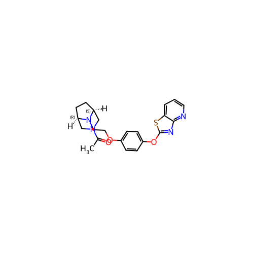 CC(=O)N1C[C@H]2CC[C@@H](C1)N2CCOc1ccc(Oc2nc3ncccc3s2)cc1